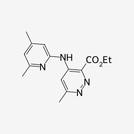 CCOC(=O)c1nnc(C)cc1Nc1cc(C)cc(C)n1